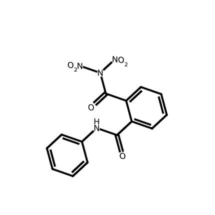 O=C(Nc1ccccc1)c1ccccc1C(=O)N([N+](=O)[O-])[N+](=O)[O-]